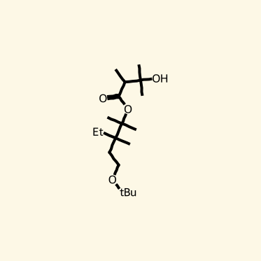 CCC(C)(CCOC(C)(C)C)C(C)(C)OC(=O)C(C)C(C)(C)O